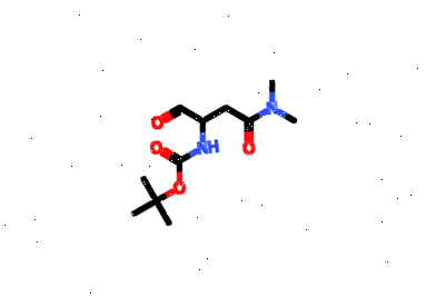 CN(C)C(=O)CC(C=O)NC(=O)OC(C)(C)C